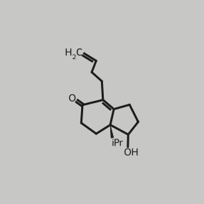 C=CCCC1=C2CCC(O)[C@]2(C(C)C)CCC1=O